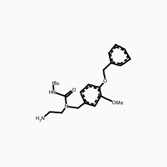 COc1cc(CN(CCN)C(=O)NC(C)(C)C)ccc1OCc1ccccc1